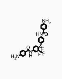 Nc1ccc(C(=O)Nc2ccc(Sc3ccc(NC(=O)c4ccc(N)cc4)cc3C(F)(F)F)cc2)cc1